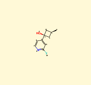 C[C@H]1C[C@](O)(c2ccnc(F)c2)C1